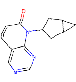 O=c1ccc2cncnc2n1C1CC2CC2C1